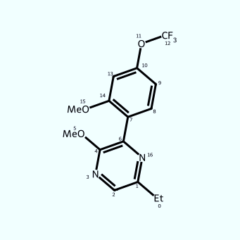 CCc1[c]nc(OC)c(-c2ccc(OC(F)(F)F)cc2OC)n1